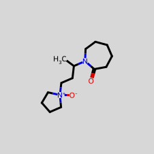 CC(CC[N+]1([O-])CCCC1)N1CCCCCC1=O